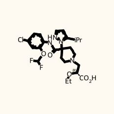 CCO[C@H](CN1CCC(C(=O)Nc2ccc(Cl)cc2OC(F)F)(n2nccc2C(C)C)CC1)C(=O)O